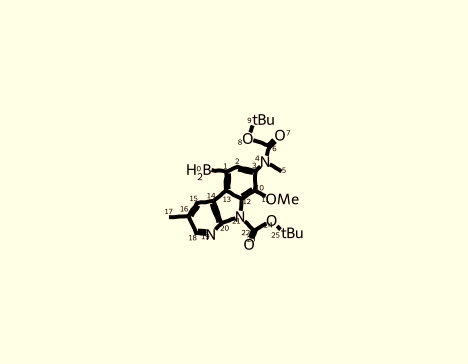 Bc1cc(N(C)C(=O)OC(C)(C)C)c(OC)c2c1c1cc(C)cnc1n2C(=O)OC(C)(C)C